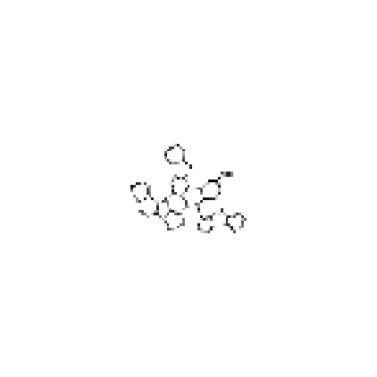 CC(C)(C)c1ccc2c(c1)-c1c3c(cc4c1sc1ccccc14)-n1c4c(cccc4c4ccc5ccccc5c41)B3N2c1cccc2c1oc1ccccc12